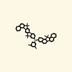 Cc1cc(C)cc(N(c2ccc3c(c2)C(C)(C)c2cc4c(cc2-3)C(C)(C)c2ccc3ccccc3c2-4)c2ccc3c4c(ccc3c2)-c2ccc3ccccc3c2C4(C)C)c1